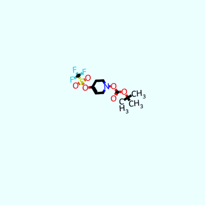 CC(C)(C)OC(=O)ON1CC=C(OS(=O)(=O)C(F)(F)F)CC1